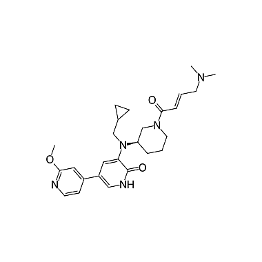 COc1cc(-c2c[nH]c(=O)c(N(CC3CC3)[C@@H]3CCCN(C(=O)/C=C/CN(C)C)C3)c2)ccn1